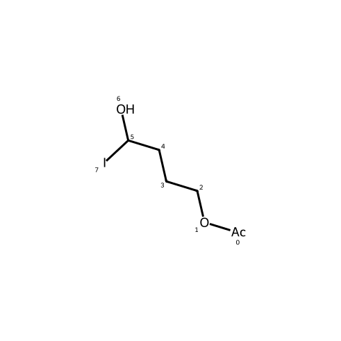 CC(=O)OCCCC(O)I